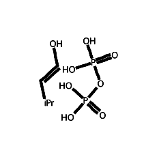 CC(C)C=CO.O=P(O)(O)OP(=O)(O)O